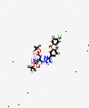 CC(C)(C)OC(=O)CC(Cn1nnc(-c2cccc(Oc3ccc(Cl)cc3)c2)n1)NC(=O)OC(C)(C)C